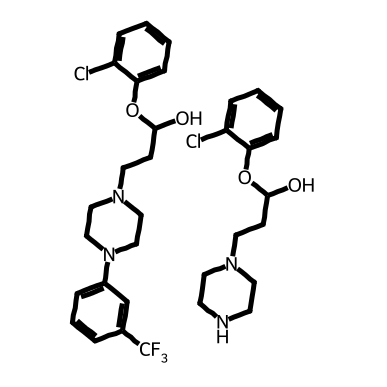 OC(CCN1CCN(c2cccc(C(F)(F)F)c2)CC1)Oc1ccccc1Cl.OC(CCN1CCNCC1)Oc1ccccc1Cl